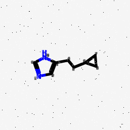 c1ncc(CCC2CC2)[nH]1